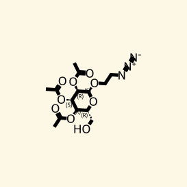 CC(=O)O[C@@H]1[C@@H](OC(C)=O)[C@@H](OCCN=[N+]=[N-])O[C@H](CO)[C@H]1OC(C)=O